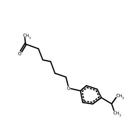 CC(=O)CCCCCOc1ccc(C(C)C)cc1